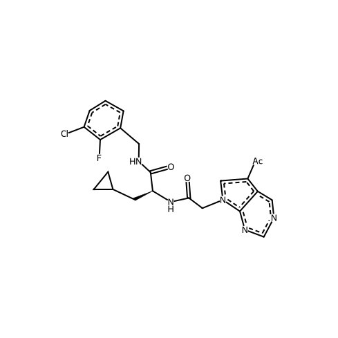 CC(=O)c1cn(CC(=O)N[C@@H](CC2CC2)C(=O)NCc2cccc(Cl)c2F)c2ncncc12